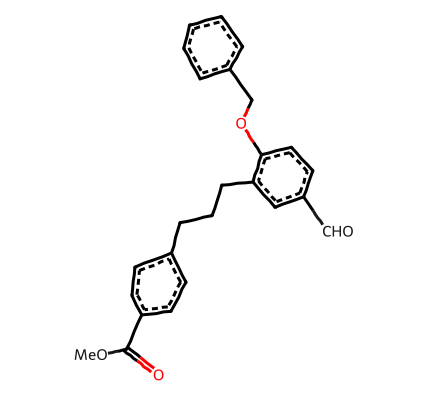 COC(=O)c1ccc(CCCc2cc(C=O)ccc2OCc2ccccc2)cc1